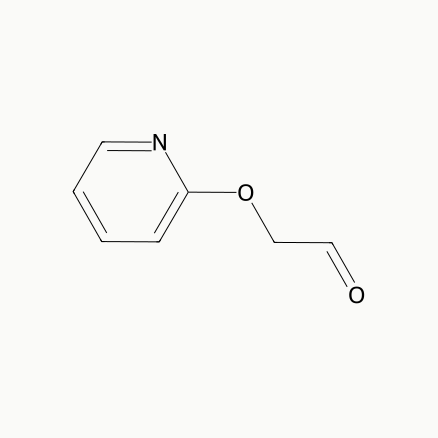 O=CCOc1ccccn1